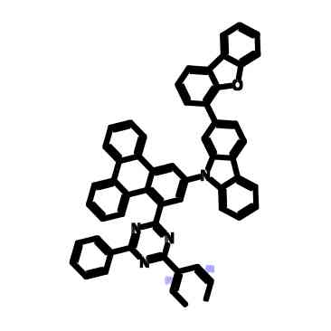 C/C=C\C(=C/C)c1nc(-c2ccccc2)nc(-c2cc(-n3c4ccccc4c4ccc(-c5cccc6c5oc5ccccc56)cc43)cc3c4ccccc4c4ccccc4c23)n1